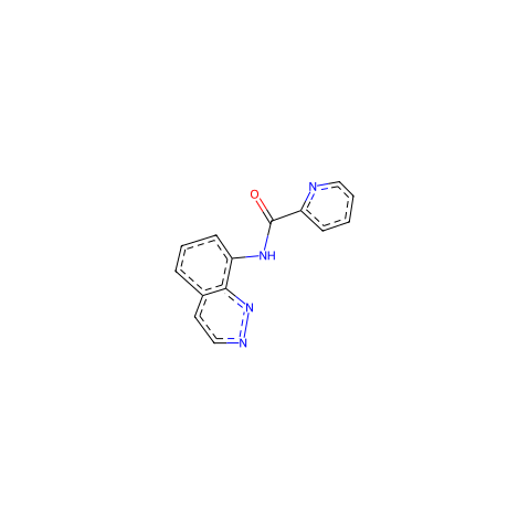 O=C(Nc1cccc2ccnnc12)c1ccccn1